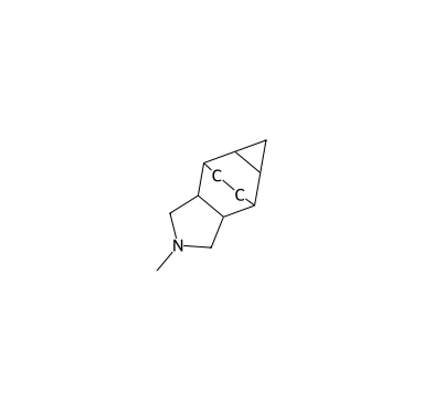 CN1CC2C3CCC(C4CC34)C2C1